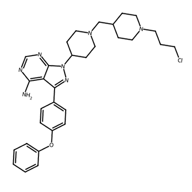 Nc1ncnc2c1c(-c1ccc(Oc3ccccc3)cc1)nn2C1CCN(CC2CCN(CCCCl)CC2)CC1